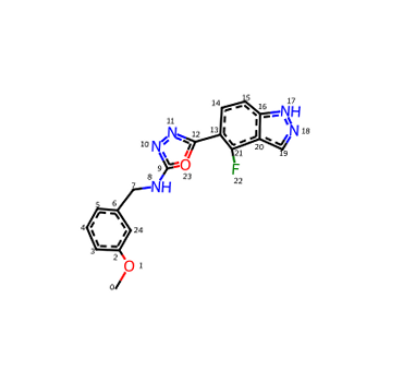 COc1cccc(CNc2nnc(-c3ccc4[nH]ncc4c3F)o2)c1